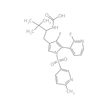 Cc1ccc(S(=O)(=O)n2cc(CC(NC(=O)O)C(C)(C)C)c(F)c2-c2cccnc2F)cn1